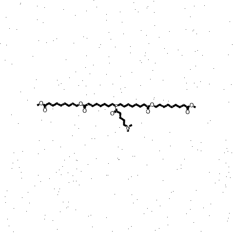 COC(=O)CCCCCCCCOC(=O)CCCCCCCP(CCCCCCCC(=O)OCCCCCCCCC(=O)OC)C(=O)CCCCN(C)C